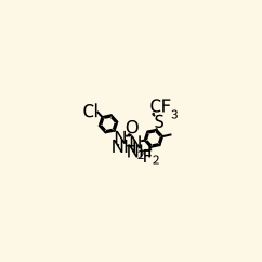 Cc1cc(F)c(N(N)C(=O)N(N)c2ccc(Cl)cc2)cc1SCC(F)(F)F